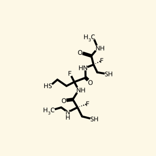 CCN[C@](F)(CS)C(=O)NC(F)(CCS)C(=O)N[C@](F)(CS)C(=O)NC